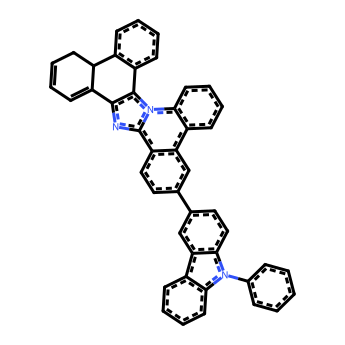 C1=CCC2C(=C1)c1nc3c4ccc(-c5ccc6c(c5)c5ccccc5n6-c5ccccc5)cc4c4ccccc4n3c1-c1ccccc12